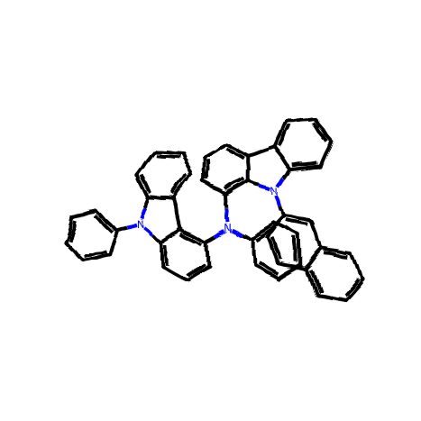 c1ccc(N(c2cccc3c2c2ccccc2n3-c2ccccc2)c2cccc3c4ccccc4n(-c4ccc5ccccc5c4)c23)cc1